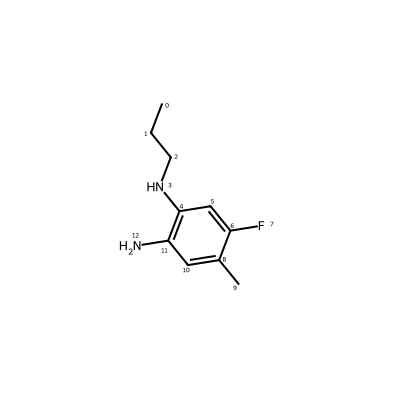 CCCNc1cc(F)c(C)cc1N